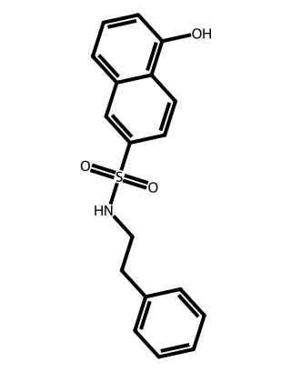 O=S(=O)(NCCc1ccccc1)c1ccc2c(O)cccc2c1